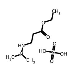 CCOC(=O)CCNN(C)C.O=S(=O)(O)O